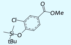 COC(=O)c1ccc(O[Si](C)(C)C(C)(C)C)c(Cl)c1